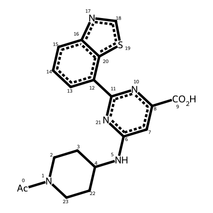 CC(=O)N1CCC(Nc2cc(C(=O)O)nc(-c3cccc4ncsc34)n2)CC1